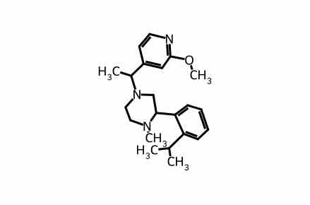 COc1cc(C(C)N2CCN(C)C(c3ccccc3C(C)C)C2)ccn1